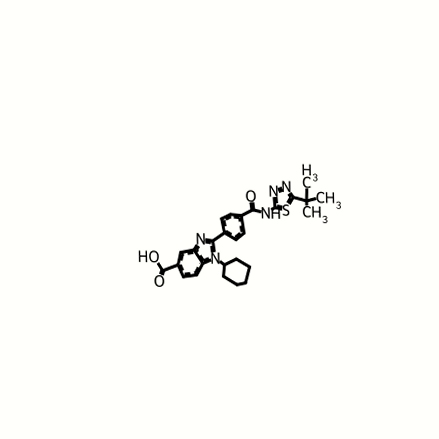 CC(C)(C)c1nnc(NC(=O)c2ccc(-c3nc4cc(C(=O)O)ccc4n3C3CCCCC3)cc2)s1